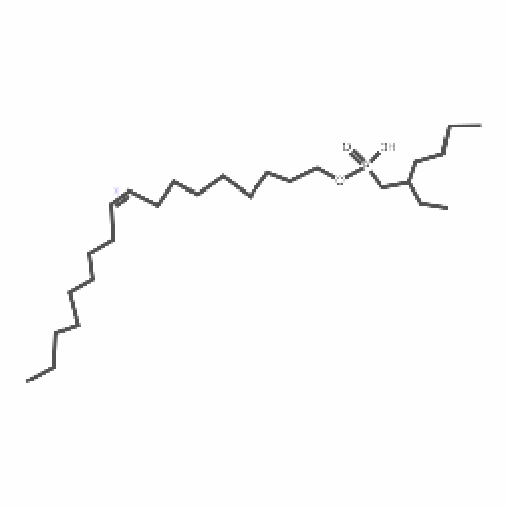 CCCCCCCC/C=C\CCCCCCCCOP(=O)(O)CC(CC)CCCC